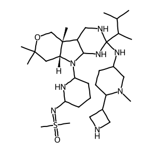 CC(C)C(C)C1(NC2CCC(C3CNC3)N(C)C2)NCC2C(N1)N(C1CCCC(N=S(C)(C)=O)N1)[C@@H]1CC(C)(C)OC[C@]21C